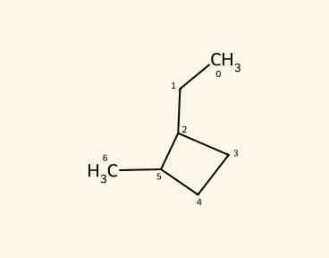 CCC1CCC1C